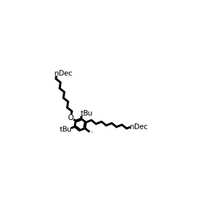 [CH2]c1cc(C(C)(C)C)c(OCCCCCCCCCCCCCCCCCC)c(C(C)(C)C)c1CCCCCCCCCCCCCCCCCC